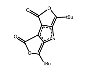 CC(C)(C)C1=c2sc3c(c2C(=O)O1)C(=O)OC=3C(C)(C)C